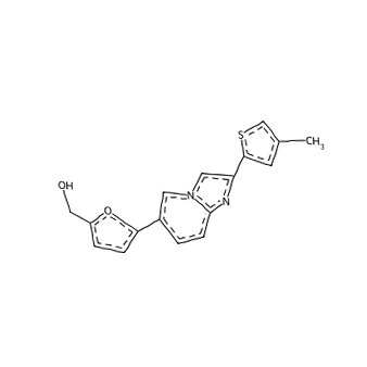 Cc1csc(-c2cn3cc(-c4ccc(CO)o4)ccc3n2)c1